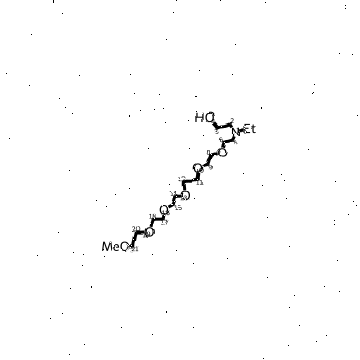 CCN(CCO)CCOCCOCCOCCOCCOCCOC